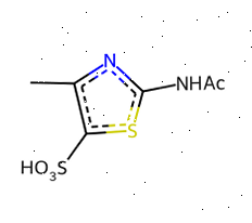 CC(=O)Nc1nc(C)c(S(=O)(=O)O)s1